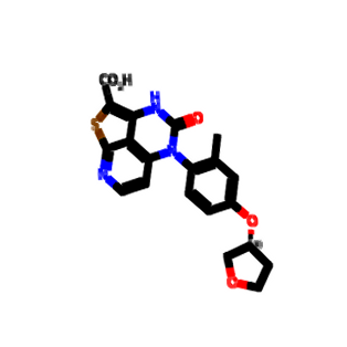 Cc1cc(O[C@@H]2CCOC2)ccc1N1C(=O)Nc2c(C(=O)O)sc3nccc1c23